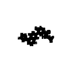 Cc1ccc(C(=O)NC2CC2)cc1-c1ccc2c(-c3cccs3)nncc2c1